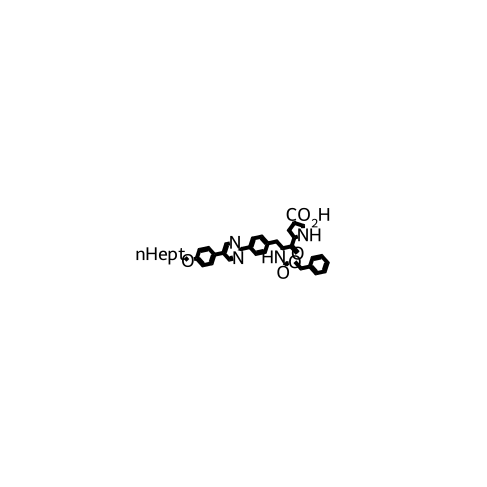 CCCCCCCOc1ccc(-c2cnc(-c3ccc(CC(NC(=O)OCc4ccccc4)C(=O)C4CC(C(=O)O)CN4)cc3)nc2)cc1